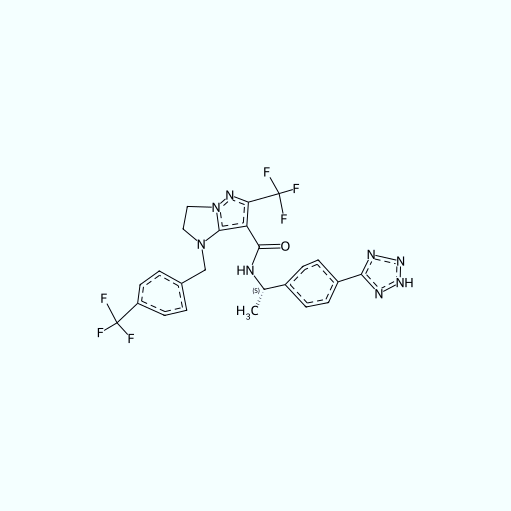 C[C@H](NC(=O)c1c(C(F)(F)F)nn2c1N(Cc1ccc(C(F)(F)F)cc1)CC2)c1ccc(-c2nn[nH]n2)cc1